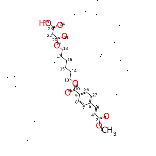 COC(=O)C=Cc1ccc(C(=O)OCCCCCCOC(=O)CC(=O)O)cc1